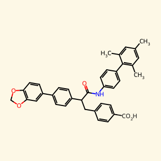 Cc1cc(C)c(-c2ccc(NC(=O)C(Cc3ccc(C(=O)O)cc3)c3ccc(-c4ccc5c(c4)OCO5)cc3)cc2)c(C)c1